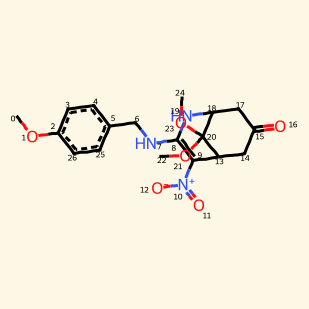 COc1ccc(CNC2=C([N+](=O)[O-])C3CC(=O)CC(N2)C3(OC)OC)cc1